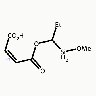 CCC(OC(=O)/C=C\C(=O)O)[SiH2]OC